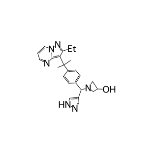 CCc1nn2cccnc2c1C(C)(C)c1ccc(C(c2cn[nH]c2)N2CC(O)C2)cc1